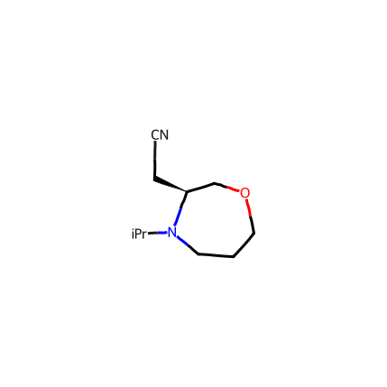 CC(C)N1CCCOC[C@@H]1CC#N